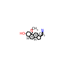 COCC12CC[C@@H](O)C[C@@H]1CC[C@@H]1[C@@H]2CC[C@]2(C)/C(=C\C#N)CC[C@@H]12